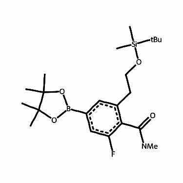 CNC(=O)c1c(F)cc(B2OC(C)(C)C(C)(C)O2)cc1CCO[Si](C)(C)C(C)(C)C